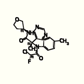 Cc1ccc(N(C(=O)[C@H](F)Cl)[C@](C)(C(=O)N[C@H]2CCOC2)c2cncnc2)cc1